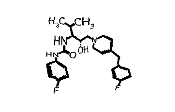 CC(C)[C@H](NC(=O)Nc1ccc(F)cc1)[C@@H](O)CN1CCC(Cc2ccc(F)cc2)CC1